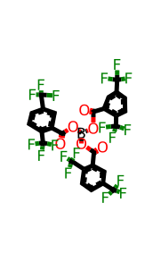 O=C(OB(OC(=O)c1cc(C(F)(F)F)ccc1C(F)(F)F)OC(=O)c1cc(C(F)(F)F)ccc1C(F)(F)F)c1cc(C(F)(F)F)ccc1C(F)(F)F